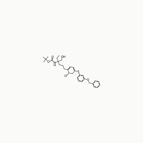 CCC(CO)(CCCC1=CC=C(Sc2cccc(OCc3ccccc3)c2)CC1Cl)NC(=O)OC(C)(C)C